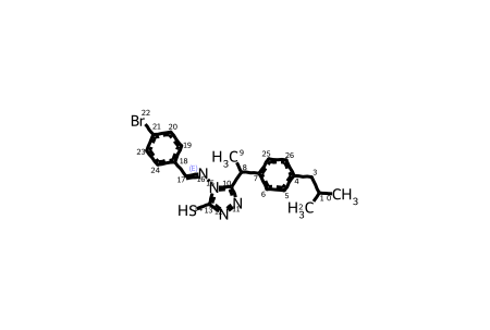 CC(C)Cc1ccc(C(C)c2nnc(S)n2/N=C/c2ccc(Br)cc2)cc1